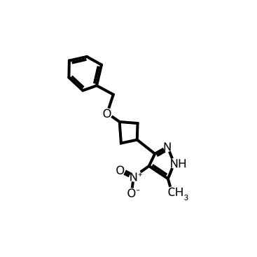 Cc1[nH]nc(C2CC(OCc3ccccc3)C2)c1[N+](=O)[O-]